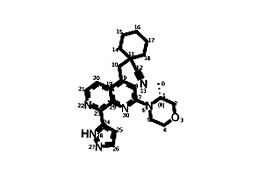 C[C@@H]1COCCN1c1cc(CC2(C#N)CCCCC2)c2ccnc(-c3ccn[nH]3)c2n1